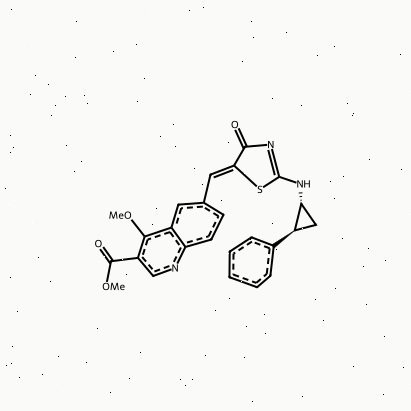 COC(=O)c1cnc2ccc(/C=C3\SC(N[C@@H]4C[C@H]4c4ccccc4)=NC3=O)cc2c1OC